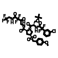 COc1ccc(CS(=O)(=O)[C@@H]2C[C@@H](C(=O)NCC(=O)C(F)(F)C(=O)NCC(F)(F)F)N(C(=O)[C@H](COC(C)(C)C)NC(=O)C(F)(F)c3cccc(Cl)c3)C2)cc1